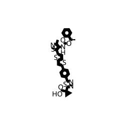 Cc1nsc(-c2cc3sc(-c4ccc(-c5nnc(C6(C(=O)O)CC6)s5)cc4)cc3s2)c1NC(=O)O[C@H](C)c1ccccc1